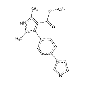 COC(=O)c1c(C)[nH]c(C)c1-c1ccc(-n2ccnc2)cc1